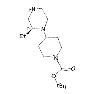 CC[C@H]1CNCCN1C1CCN(C(=O)OC(C)(C)C)CC1